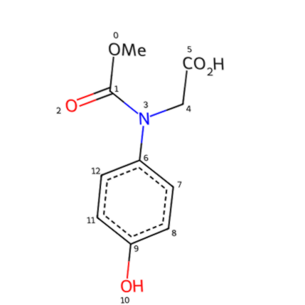 COC(=O)N(CC(=O)O)c1ccc(O)cc1